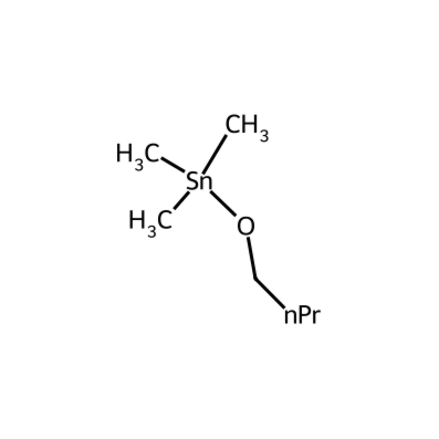 CCCC[O][Sn]([CH3])([CH3])[CH3]